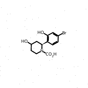 O=C(O)N1CCC(O)C[C@H]1c1ccc(Br)cc1O